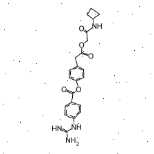 N=C(N)Nc1ccc(C(=O)Oc2ccc(CC(=O)OCC(=O)NC3CCC3)cc2)cc1